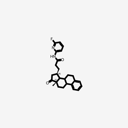 C[C@]12CCC3c4ccccc4CCC3C1[C@H](CCC(=O)Nc1cccc(F)n1)CC2=O